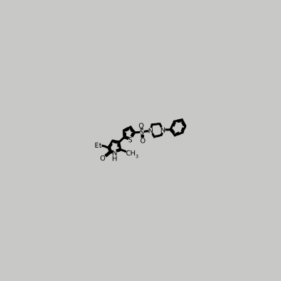 CCc1cc(-c2ccc(S(=O)(=O)N3CCN(c4ccccc4)CC3)s2)c(C)[nH]c1=O